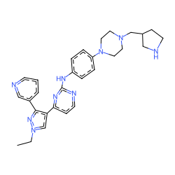 CCn1cc(-c2ccnc(Nc3ccc(N4CCN(CC5CCNC5)CC4)cc3)n2)c(-c2cccnc2)n1